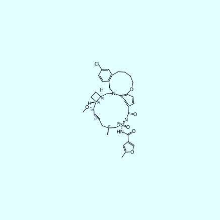 CO[C@H]1/C=C/C[C@H](C)C[S@@](=O)(NC(=O)c2coc(C)c2)=NC(=O)c2ccc3c(c2)N(Cc2ccc(Cl)cc2CCCCO3)C[C@@H]2CC[C@H]21